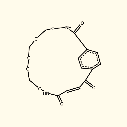 O=C1/C=C/C(=O)c2ccc(cc2)C(=O)NCCCCCCCCN1